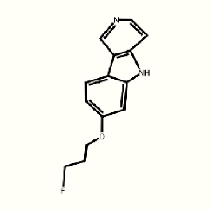 FCCCOc1ccc2c(c1)[nH]c1ccncc12